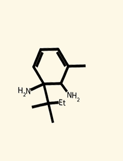 CCC(C)(C)C1(N)C=CC=C(C)C1N